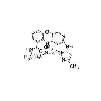 CNC(=O)c1ccccc1Nc1cc(Nc2cc(C)nn2CCN(C)C)ncc1Cl